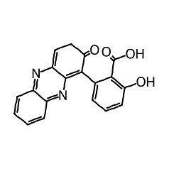 O=C1CC=c2nc3ccccc3nc2=C1c1cccc(O)c1C(=O)O